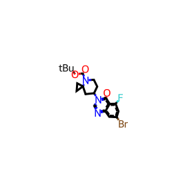 CC(C)(C)OC(=O)N1CCC(n2cnc3cc(Br)cc(F)c3c2=O)CC12CC2